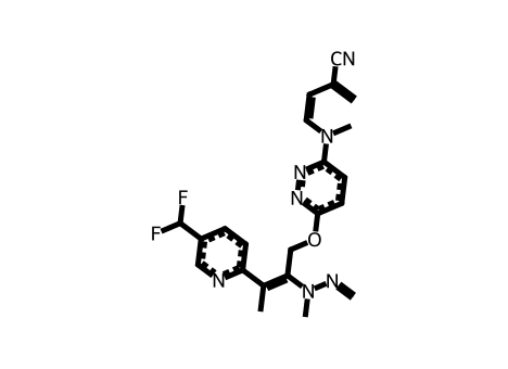 C=NN(C)/C(COc1ccc(N(C)/C=C\C(=C)C#N)nn1)=C(\C)c1ccc(C(F)F)cn1